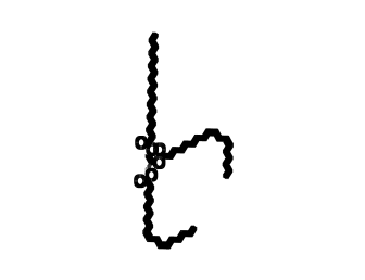 CCCCC/C=C\C/C=C\CCCCCCCC(=O)OC[C@H](COC(=O)CCCCCCCCCCCCCCCCC)OC(=O)CCCCCCC/C=C\C/C=C\CCCCC